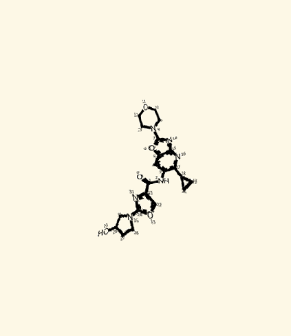 O=C(Nc1cc2oc(N3CCOCC3)nc2nc1C1CC1)c1coc(N2CCC(O)C2)n1